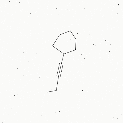 CCC#CC1CCCCC1